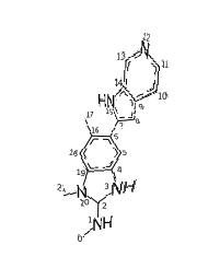 CNC1Nc2cc(-c3cc4ccncc4[nH]3)c(C)cc2N1C